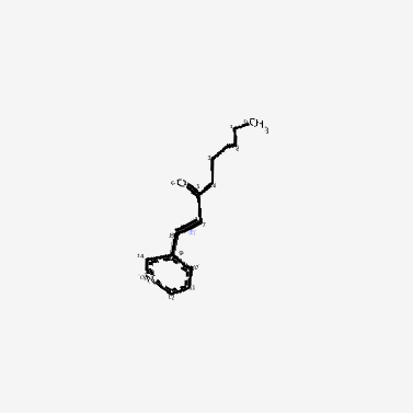 CCCCCC(=O)/C=C/c1cccnc1